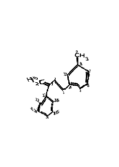 C=C(C=Cc1cccc(C)c1)c1ccccc1